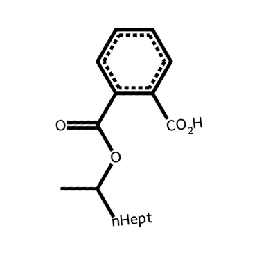 CCCCCCCC(C)OC(=O)c1ccccc1C(=O)O